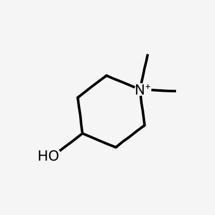 C[N+]1(C)CCC(O)CC1